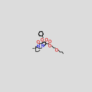 CCCCOCCCOC(=O)c1cn2c(c(OCc3ccccc3)c1=O)C(=O)N1C[C@@]3(C)CCC[C@]1(C2)C3